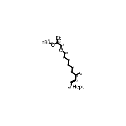 CCCCCCC/C=C/C(C)CCCCCCOCC(CC)OCCCC